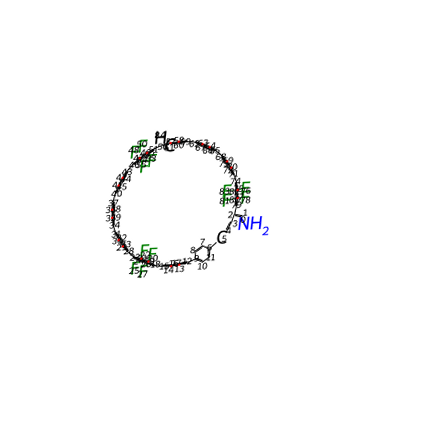 N/C=C1\C=C/Cc2ccc(cc2)-c2ccc(cc2)-c2c(F)c(F)c(c(F)c2F)-c2ccc(cc2)-c2ccc(cc2)-c2ccc(cc2)-c2c(F)c(F)c(c(F)c2F)[C@@H]2C=CC(=CC2)c2ccc(cc2)-c2ccc(cc2)-c2c(F)c(F)c1c(F)c2F